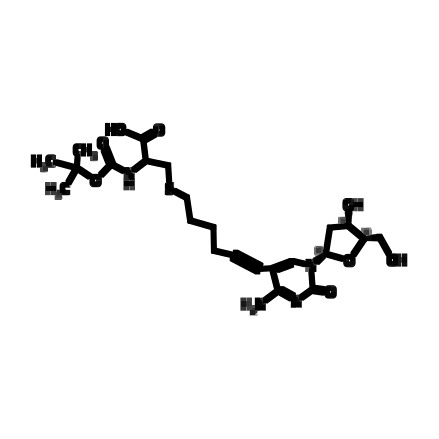 CC(C)(C)OC(=O)NC(CSCCCCC#Cc1cn([C@H]2C[C@@H](O)[C@@H](CO)O2)c(=O)nc1N)C(=O)O